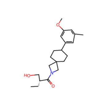 CC[C@H](CO)C(=O)N1CC2(CCC(c3cc(C)cc(OC)c3)CC2)C1